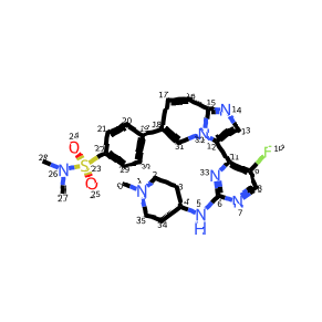 CN1CCC(Nc2ncc(F)c(-c3cnc4ccc(-c5ccc(S(=O)(=O)N(C)C)cc5)cn34)n2)CC1